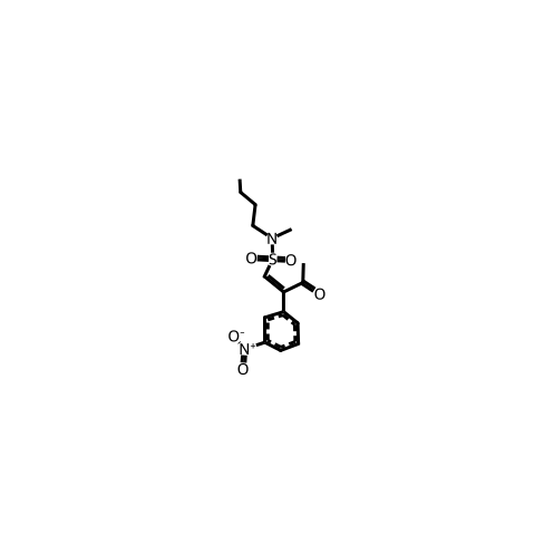 CCCCN(C)S(=O)(=O)C=C(C(C)=O)c1cccc([N+](=O)[O-])c1